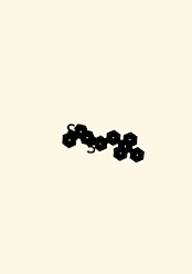 c1ccc(-c2c3ccccc3c(-c3cccc(-c4ccc5sc6cc7c(ccc8sc9ccccc9c87)cc6c5c4)c3)c3ccccc23)cc1